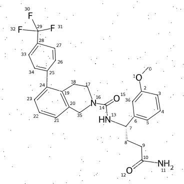 COc1cccc([C@H](CCC(N)=O)NC(=O)N2CCc3c(cccc3-c3ccc(C(F)(F)F)cc3)C2)c1